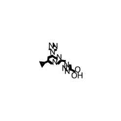 O=C(O)c1cn(Cc2cn3cc(C4CC4)cc(-n4cnnc4)c3n2)nn1